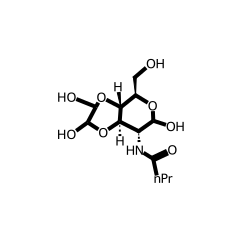 CCCC(=O)N[C@H]1C(O)O[C@H](CO)[C@H]2OC(O)C(O)O[C@@H]21